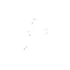 CC(C)(SCc1ccccc1)C(NC(=O)N(CCSCc1ccccc1)CCc1ccccc1)C(=O)O